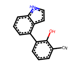 N#Cc1cccc(-c2cccc3[nH]ccc23)c1O